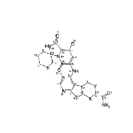 NC(=O)[C@H]1CCc2c(sc3ncnc(Nc4cc(Cl)c5n(c4=O)C4(CCCCC4)NC5=O)c23)C1